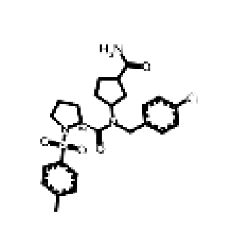 Cc1ccc(S(=O)(=O)N2CCC[C@H]2C(=O)N(Cc2ccc(Cl)cc2)C2CCC(C(N)=O)C2)cc1